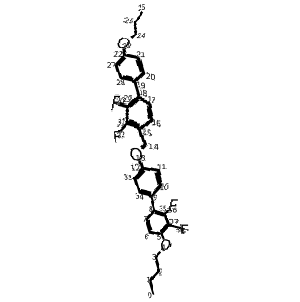 CCCCOc1ccc(-c2ccc(OCc3ccc(-c4ccc(OCCC)cc4)c(F)c3F)cc2)c(F)c1F